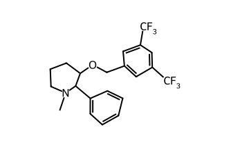 CN1CCCC(OCc2cc(C(F)(F)F)cc(C(F)(F)F)c2)C1c1ccccc1